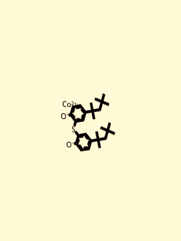 CC(C)(C)CC(C)(C)c1ccc([O-])c(Sc2cc(C(C)(C)CC(C)(C)C)ccc2[O-])c1.[Co+2]